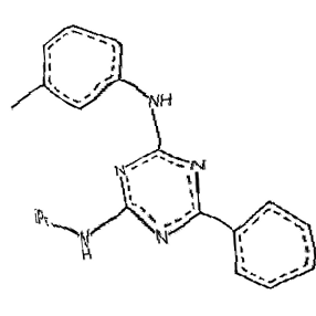 Cc1cccc(Nc2nc(NC(C)C)nc(-c3ccccc3)n2)c1